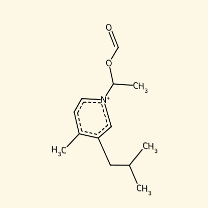 Cc1cc[n+](C(C)OC=O)cc1CC(C)C